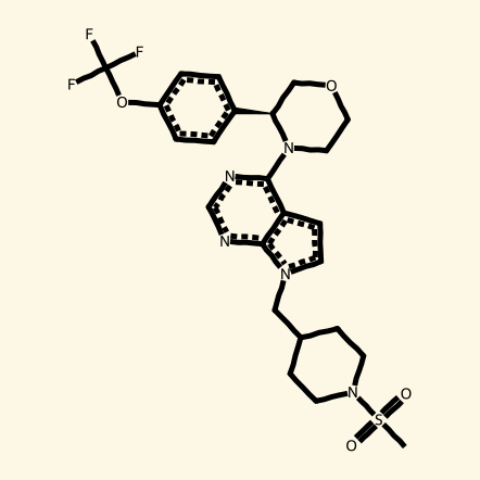 CS(=O)(=O)N1CCC(Cn2ccc3c(N4CCOC[C@@H]4c4ccc(OC(F)(F)F)cc4)ncnc32)CC1